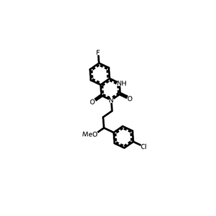 COC(CCn1c(=O)[nH]c2cc(F)ccc2c1=O)c1ccc(Cl)cc1